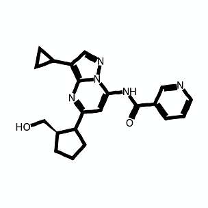 O=C(Nc1cc(C2CCC[C@H]2CO)nc2c(C3CC3)cnn12)c1cccnc1